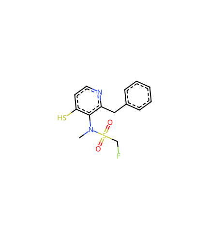 CN(c1c(S)ccnc1Cc1ccccc1)S(=O)(=O)CF